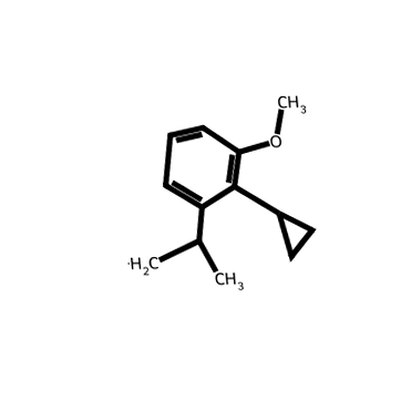 [CH2]C(C)c1cccc(OC)c1C1CC1